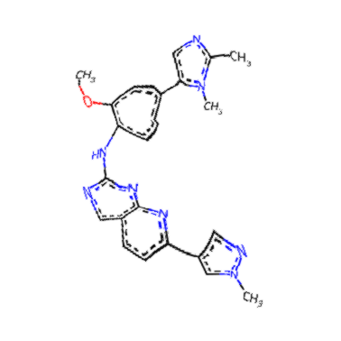 COc1cc(-c2cnc(C)n2C)ccc1Nc1ncc2ccc(-c3cnn(C)c3)nc2n1